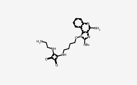 CCCCc1nc2c(N)nc3ccccc3c2n1OCCCCNc1c(NCCN)c(=O)c1=O